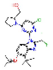 C[SiH](C)Oc1ccc2c(nc(C(F)F)n2-c2nc(Cl)cc(N3CCCC3CO)n2)c1C(C)(C)C